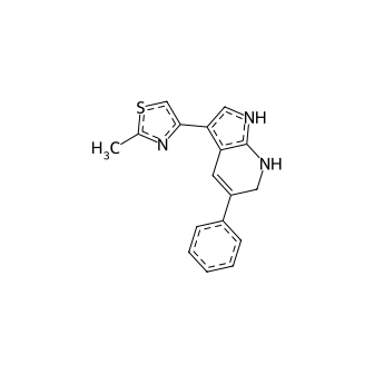 Cc1nc(-c2c[nH]c3c2C=C(c2ccccc2)CN3)cs1